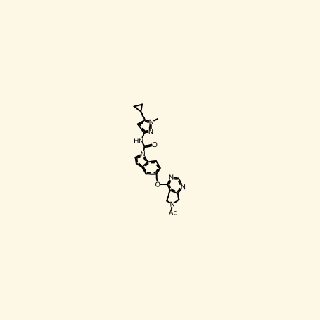 CC(=O)N1Cc2ncnc(Oc3ccc4c(ccn4C(=O)Nc4cc(C5CC5)n(C)n4)c3)c2C1